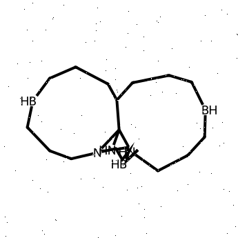 B1CCCNC23NCCCBCCCN2CCCBCCCC3CCC1